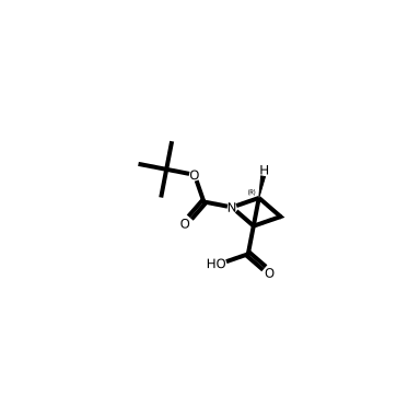 CC(C)(C)OC(=O)N1[C@@H]2CC21C(=O)O